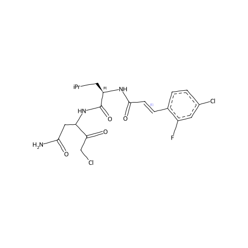 CC(C)C[C@@H](NC(=O)/C=C/c1ccc(Cl)cc1F)C(=O)NC(CC(N)=O)C(=O)CCl